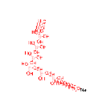 O.O.O.O.O.O.O.O.O.O.OB(O)O.OB(O)O.OB(O)O.OB(O)O.OB(O)O.OB(O)O.[Na]